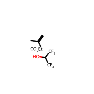 C=C(C)C(=O)OCC.OC(C(F)(F)F)C(F)(F)F